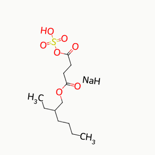 CCCCC(CC)COC(=O)CCC(=O)OS(=O)(=O)O.[NaH]